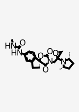 CNC(=O)Nc1ccc2c(c1)CC[C@@]21OC(=O)N(CC2(N3[C@H](C)CC[C@@H]3C)CO2)C1=O